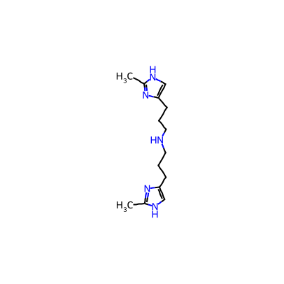 Cc1nc(CCCNCCCc2c[nH]c(C)n2)c[nH]1